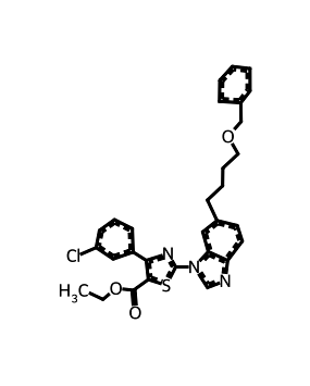 CCOC(=O)c1sc(-n2cnc3ccc(CCCCOCc4ccccc4)cc32)nc1-c1cccc(Cl)c1